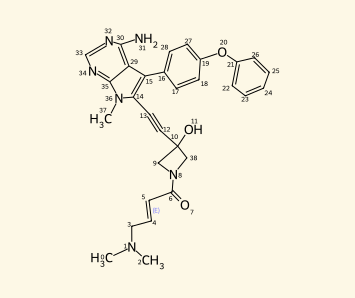 CN(C)C/C=C/C(=O)N1CC(O)(C#Cc2c(-c3ccc(Oc4ccccc4)cc3)c3c(N)ncnc3n2C)C1